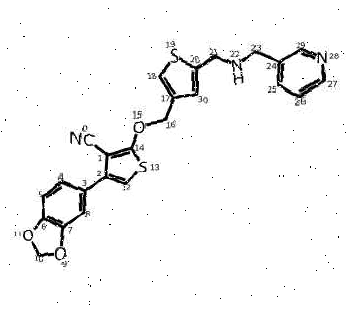 N#Cc1c(-c2ccc3c(c2)OCO3)csc1OCc1csc(CNCc2cccnc2)c1